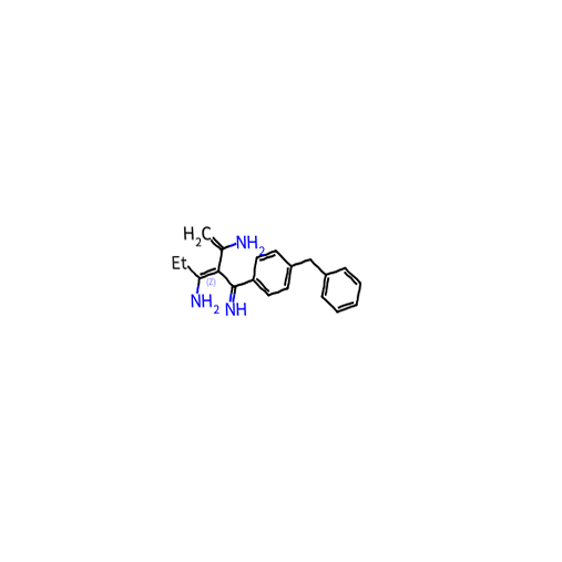 C=C(N)/C(C(=N)c1ccc(Cc2ccccc2)cc1)=C(/N)CC